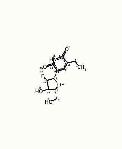 CCc1cn([C@@H]2O[C@H](CO)[C@@H](O)[C@H]2F)c(=O)[nH]c1=O